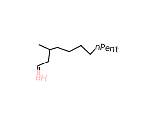 B=CCC(C)CCCCCCCCC